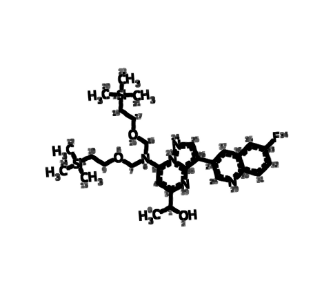 CC(O)c1cc(N(COCC[Si](C)(C)C)COCC[Si](C)(C)C)n2ncc(-c3cnc4ccc(F)cc4c3)c2n1